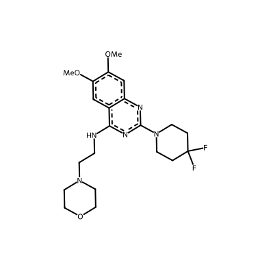 COc1cc2nc(N3CCC(F)(F)CC3)nc(NCCN3CCOCC3)c2cc1OC